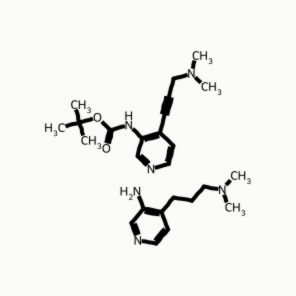 CN(C)CC#Cc1ccncc1NC(=O)OC(C)(C)C.CN(C)CCCc1ccncc1N